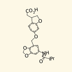 CC(C)[S+]([O-])Nc1cc(COc2ccc3c(c2)OCC3CC(=O)O)c2c(c1)OCO2